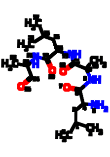 CC(C)CC(N)C(=O)NC(C)C(=O)NC(CC(C)C)C(=O)NC(C)C=O